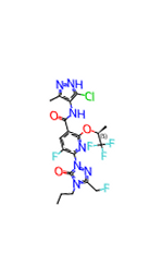 CCCn1c(CF)nn(-c2nc(O[C@@H](C)C(F)(F)F)c(C(=O)Nc3c(C)n[nH]c3Cl)cc2F)c1=O